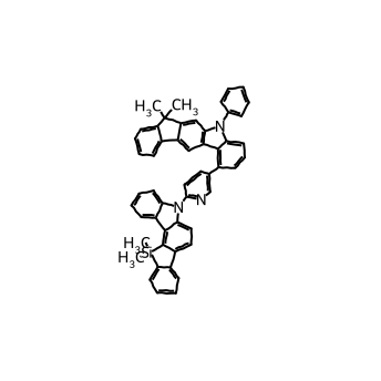 CC1(C)c2ccccc2-c2cc3c4c(-c5ccc(-n6c7ccccc7c7c8c(ccc76)-c6ccccc6[Si]8(C)C)nc5)cccc4n(-c4ccccc4)c3cc21